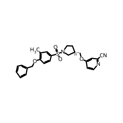 Cc1cc(S(=O)(=O)N2CC[C@H](COc3ccnc(C#N)c3)C2)ccc1OCc1ccccc1